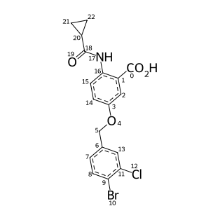 O=C(O)c1cc(OCc2ccc(Br)c(Cl)c2)ccc1NC(=O)C1CC1